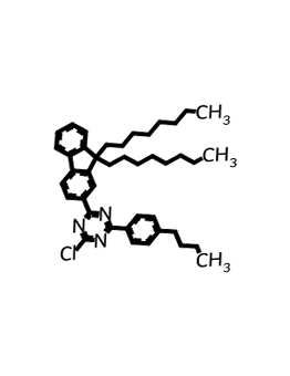 CCCCCCCCC1(CCCCCCCC)c2ccccc2-c2ccc(-c3nc(Cl)nc(-c4ccc(CCCC)cc4)n3)cc21